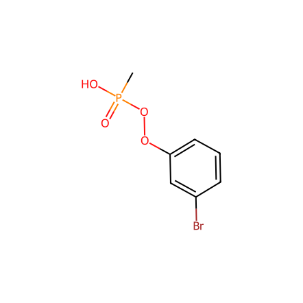 CP(=O)(O)OOc1cccc(Br)c1